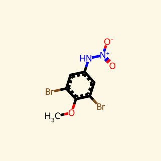 COc1c(Br)cc(N[N+](=O)[O-])cc1Br